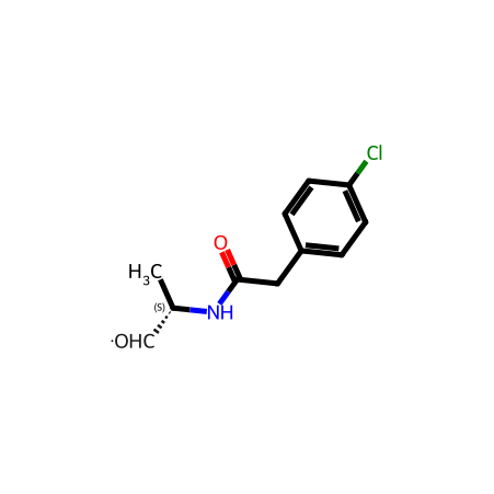 C[C@@H]([C]=O)NC(=O)Cc1ccc(Cl)cc1